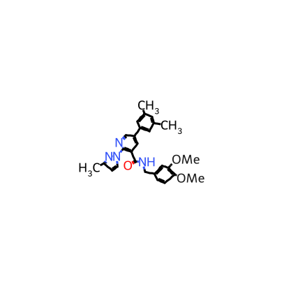 COc1ccc(CNC(=O)c2cc(-c3cc(C)cc(C)c3)cnc2-n2ccc(C)n2)cc1OC